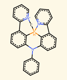 c1ccc(N2c3cccc4c3[PH]3(C[n+]5ccccc5-4)c4c(cccc42)-c2cccc[n+]23)cc1